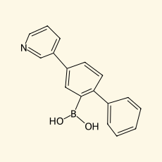 OB(O)c1cc(-c2cccnc2)ccc1-c1ccccc1